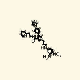 Nc1nc(NCCCn2cc(C(=O)NCCc3ccccn3)c(-c3ccc(-n4ccnc4)cc3)c2)ccc1[N+](=O)[O-]